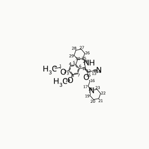 CCOc1cc2c(cc1OC)C(=C(C#N)OCCN1CCCCC1)NC1CCCCC21